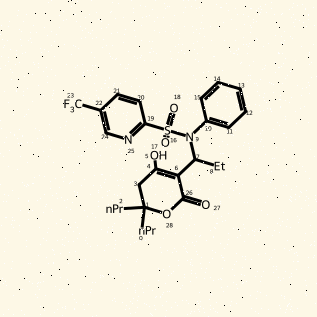 CCCC1(CCC)CC(O)=C(C(CC)N(c2ccccc2)S(=O)(=O)c2ccc(C(F)(F)F)cn2)C(=O)O1